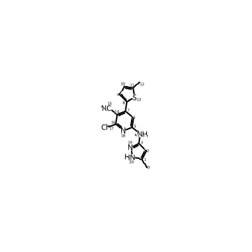 Cc1cc(Nc2cc(-c3ccc(C)s3)c(C#N)c(Cl)n2)n[nH]1